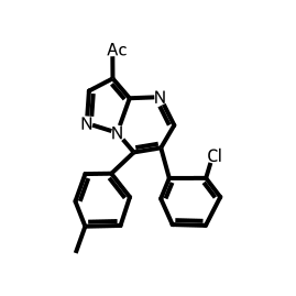 CC(=O)c1cnn2c(-c3ccc(C)cc3)c(-c3ccccc3Cl)cnc12